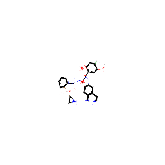 CCOc1cc(C(Nc2ccc3c(N)nccc3c2)(OC(=O)C(F)(F)F)C(=O)NCc2ccccc2S(=O)(=O)C2CC2)ccc1Cl